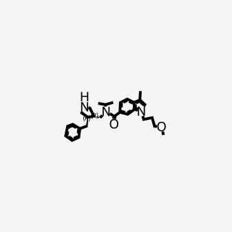 COCCCn1cc(C)c2ccc(C(=O)N(C[C@H]3CNC[C@@H]3Cc3ccccc3)C(C)C)cc21